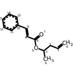 C=CCC(C)OC(=O)C=Cc1ccccc1